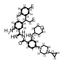 N=C(NC(=O)c1ccc(N2CCN(C3CC3)CC2)cc1NC1CCOCC1)c1cc(C(CF)c2cc(F)ccc2F)ccc1N